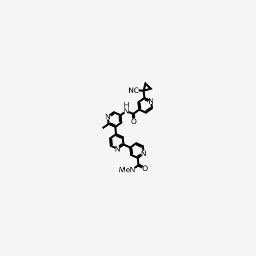 CNC(=O)c1cc(-c2cc(-c3cc(NC(=O)c4ccnc(C5(C#N)CC5)c4)cnc3C)ccn2)ccn1